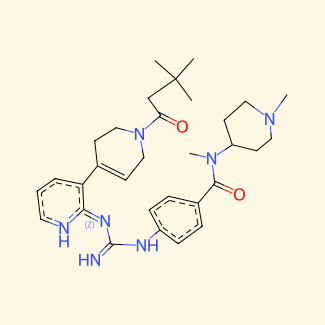 CN1CCC(N(C)C(=O)c2ccc(NC(=N)/N=c3\[nH]cccc3C3=CCN(C(=O)CC(C)(C)C)CC3)cc2)CC1